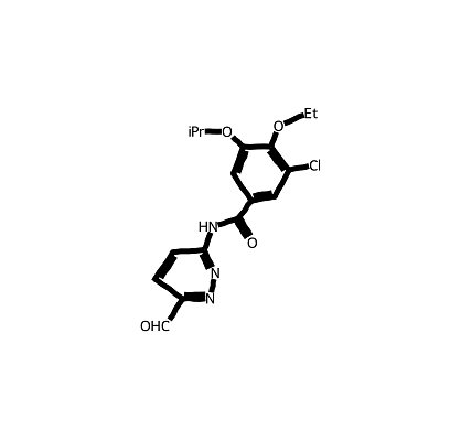 CCOc1c(Cl)cc(C(=O)Nc2ccc(C=O)nn2)cc1OC(C)C